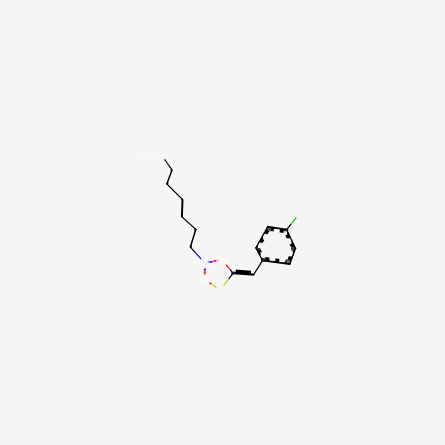 O=C(O)CCCCCCN1OSC(=Cc2ccc(Cl)cc2)O1